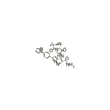 CO[C@H]1CN(C(=O)C2(C#N)CC2)C[C@H]1Nc1c(C(N)=O)cnn2cc(-c3ccc(-n4cccn4)cc3)cc12